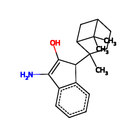 CC1(C)C2CCC(C)(C3C(O)=C(N)c4ccccc43)C1C2